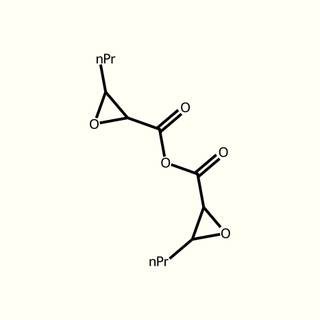 CCCC1OC1C(=O)OC(=O)C1OC1CCC